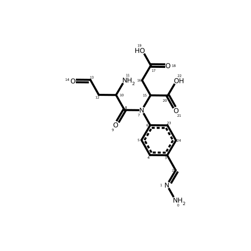 NN=Cc1ccc(N(C(=O)C(N)CC=O)C(CC(=O)O)C(=O)O)cc1